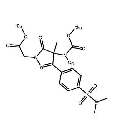 CN(C)S(=O)(=O)c1ccc(C2=NN(CC(=O)OC(C)(C)C)C(=O)C2(C)N(O)C(=O)OC(C)(C)C)cc1